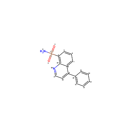 NS(=O)(=O)c1cccc2c(-c3ccccc3)ccnc12